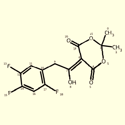 CC1(C)OC(=O)C(=C(O)Cc2cc(F)c(F)cc2F)C(=O)O1